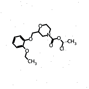 CCOc1ccccc1OCC1CN(C(=O)O[C@H](C)Cl)CCO1